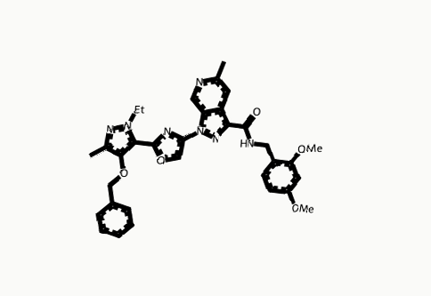 CCn1nc(C)c(OCc2ccccc2)c1-c1nc(-n2nc(C(=O)NCc3ccc(OC)cc3OC)c3cc(C)ncc32)co1